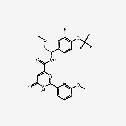 COC[C@@H](NC(=O)c1cc(=O)[nH]c(-c2cccc(OC)n2)n1)c1ccc(OC(F)(F)F)c(F)c1